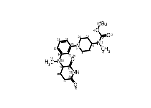 CN(C(=O)OC(C)(C)C)C1CCN(c2cccc(N(C)C3CCC(=O)NC3=O)c2)CC1